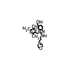 Cc1nc(C)c(Cn2c(NCCCN3CCOCC3)nc3ccc(CO)cc32)nc1C